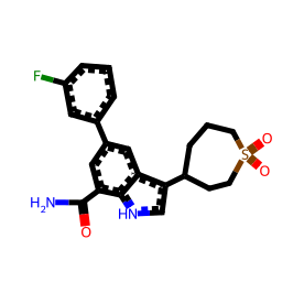 NC(=O)c1cc(-c2cccc(F)c2)cc2c(C3CCCS(=O)(=O)CC3)c[nH]c12